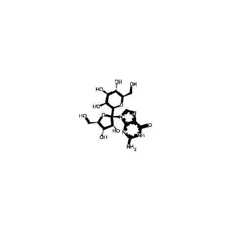 Nc1nc2c(ncn2[C@]2([C@@H]3O[C@H](CO)[C@@H](O)[C@H](O)[C@@H]3O)O[C@H](CO)[C@@H](O)[C@H]2O)c(=O)[nH]1